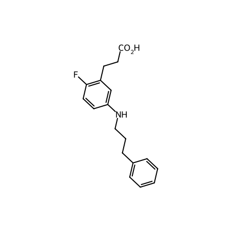 O=C(O)CCc1cc(NCCCc2ccccc2)ccc1F